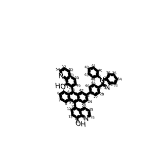 Oc1c(-c2c3ccccc3c(-c3ccc(O)c4ncccc34)c3ccc(-c4ccc(-c5nc6ccccc6n5-c5ccccc5)cc4)cc23)ccc2cccnc12